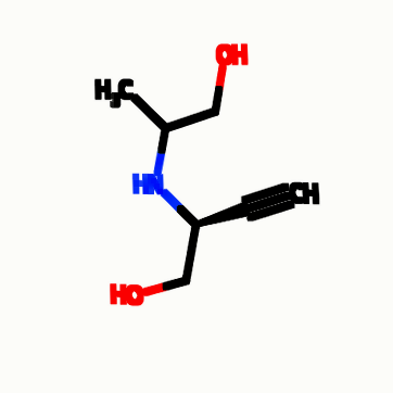 C#C[C@@H](CO)NC(C)CO